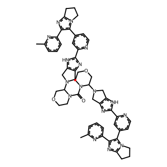 Cc1cccc(-c2nc3n(c2-c2ccnc(-c4nc5c([nH]4)CN(C4COCCN4C(=O)N4CCOCC4N4Cc6nc(-c7cc(-c8c(-c9cccc(C)n9)nc9n8CCC9)ccn7)[nH]c6C4)C5)c2)CCC3)n1